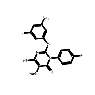 CNc1c(S)nc(Oc2cc(F)cc(C(F)(F)F)c2)n(-c2ccc(F)cc2)c1=O